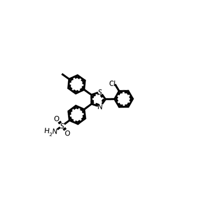 Cc1ccc(-c2sc(-c3ccccc3Cl)nc2-c2ccc(S(N)(=O)=O)cc2)cc1